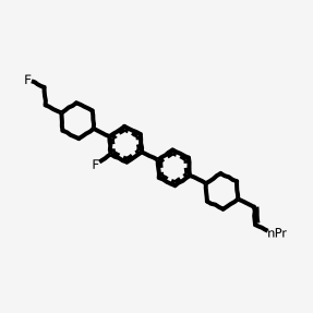 CCCC=CC1CCC(c2ccc(-c3ccc(C4CCC(CCF)CC4)c(F)c3)cc2)CC1